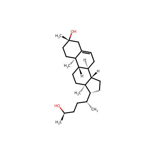 C[C@H](CC[C@@H](C)O)[C@H]1CC[C@H]2[C@@H]3CC=C4C[C@@](C)(O)CC[C@]4(C)[C@H]3CC[C@]12C